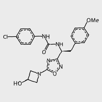 COc1ccc(C[C@H](NC(=O)Nc2ccc(Cl)cc2)c2noc(N3CC(O)C3)n2)cc1